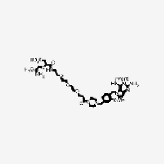 CCCCCNc1nc(N)nc2ccn(Cc3ccc(CN4CCN(C(=O)CCOCCOCCOCCNC(=O)C(CC(=O)O)SC[C@@H](C)N)CC4)cc3OC)c12